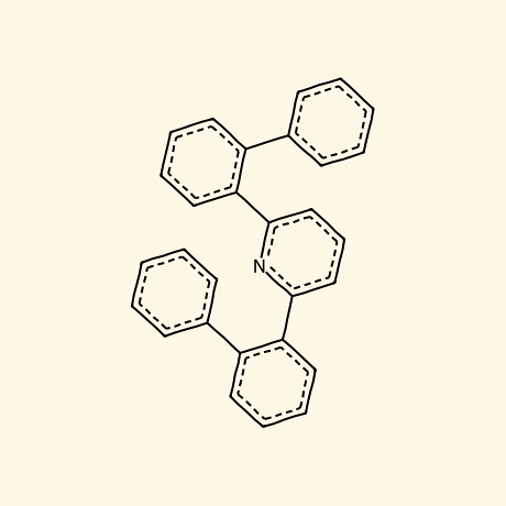 c1ccc(-c2ccccc2-c2cccc(-c3ccccc3-c3ccccc3)n2)cc1